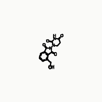 O=C1CCN(N2C(=O)c3cccc(CO)c3C2=O)C(=O)N1